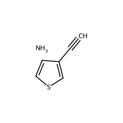 C#Cc1ccsc1.N